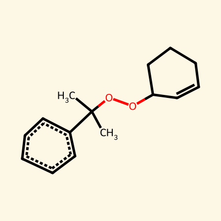 CC(C)(OOC1C=CCCC1)c1ccccc1